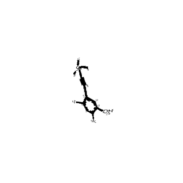 CC(=O)c1cc(F)c(C#C[Si](C)(C)C)cc1O